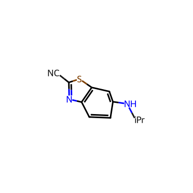 CC(C)Nc1ccc2nc(C#N)sc2c1